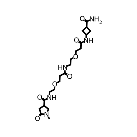 CN1CC(C(=O)NCCOCCC(=O)NCCOCCC(=O)NC2CC(C(N)=O)C2)CC1=O